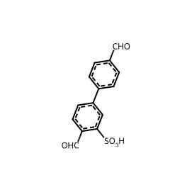 O=Cc1ccc(-c2ccc(C=O)c(S(=O)(=O)O)c2)cc1